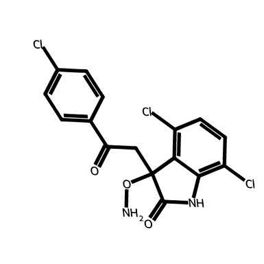 NOC1(CC(=O)c2ccc(Cl)cc2)C(=O)Nc2c(Cl)ccc(Cl)c21